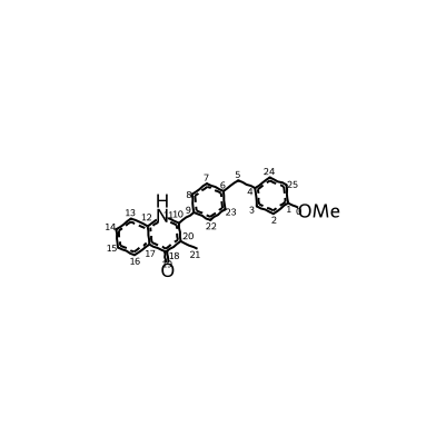 COc1ccc(Cc2ccc(-c3[nH]c4ccccc4c(=O)c3C)cc2)cc1